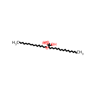 CCCCCCCCCCCCCCCCCCOC(CCCCCCCCCCCCCCCCCC)C(CO)(CO)CO